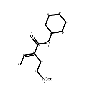 CC=C(CCCCCCCCCC)C(=O)OC1CCCCC1